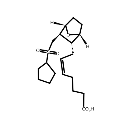 O=C(O)CCC/C=C\C[C@@H]1[C@@H](CS(=O)(=O)C2CCCC2)[C@@H]2CC[C@H]1O2